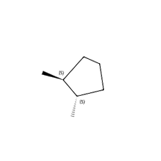 C[C@H]1CCC[C@@H]1C